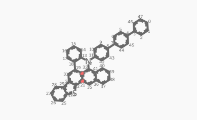 c1ccc(-c2ccc(-c3ccc(N(c4ccccc4-c4ccc5sc6ccccc6c5c4)c4cccc5ccccc45)cc3)cc2)cc1